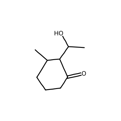 CC(O)C1C(=O)CCCC1C